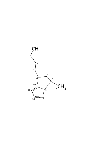 CCCCC1CC(C)C2C=CC=C12